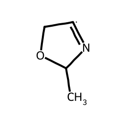 CC1N=[C]CO1